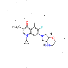 Cc1c(F)c(N2C[C@@H]3NCCO[C@@H]3C2)cc2c1c(=O)c(C(=O)O)cn2C1CC1